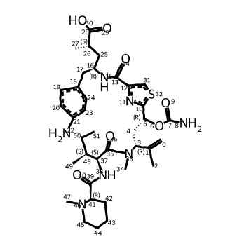 C=C(C)[C@@H](C[C@@H](OC(N)=O)c1nc(C(=O)N[C@@H](Cc2ccc(N)cc2)C[C@H](C)C(=O)O)cs1)N(C)C(=O)[C@@H](NC(=O)[C@H]1CCCCN1C)[C@@H](C)CC